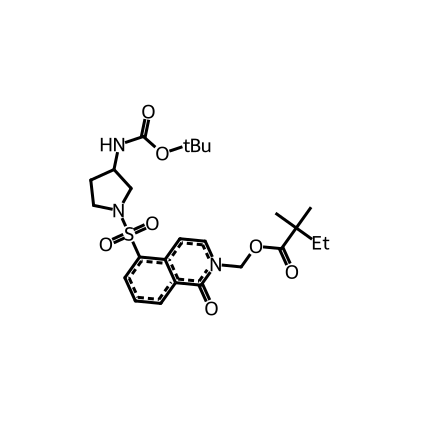 CCC(C)(C)C(=O)OCn1ccc2c(S(=O)(=O)N3CCC(NC(=O)OC(C)(C)C)C3)cccc2c1=O